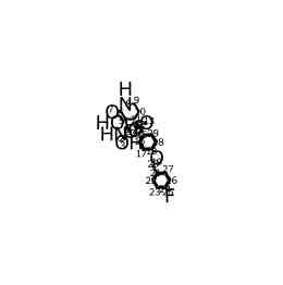 O=C(NO)C1(O)C(=O)NCCC1S(=O)(=O)c1ccc(OCc2ccc(F)cc2)cc1